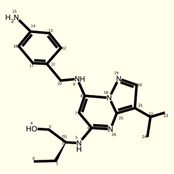 CC[C@@H](CO)Nc1cc(NCc2ccc(N)cc2)n2ncc(C(C)C)c2n1